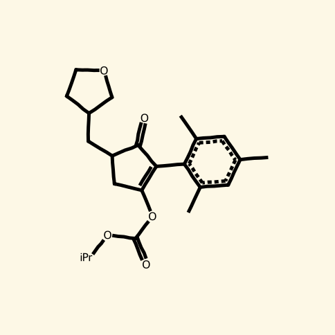 Cc1cc(C)c(C2=C(OC(=O)OC(C)C)CC(CC3CCOC3)C2=O)c(C)c1